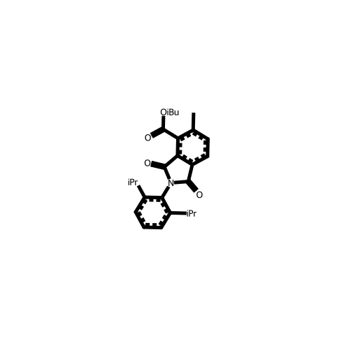 Cc1ccc2c(c1C(=O)OCC(C)C)C(=O)N(c1c(C(C)C)cccc1C(C)C)C2=O